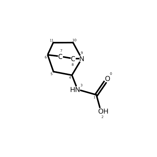 O=C(O)NC1CC2CCN1CC2